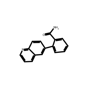 NC(=O)c1ccccc1-c1ccc2ncccc2c1